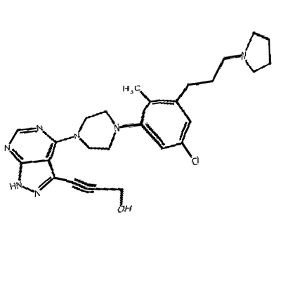 Cc1c(CCCN2CCCC2)cc(Cl)cc1N1CCN(c2ncnc3[nH]nc(C#CCO)c23)CC1